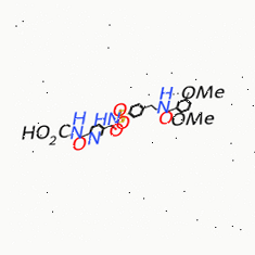 COc1ccc(OC)c(C(=O)NCCc2ccc(S(=O)(=O)NC(=O)c3ccc(C(=O)NCC(=O)O)nc3)cc2)c1